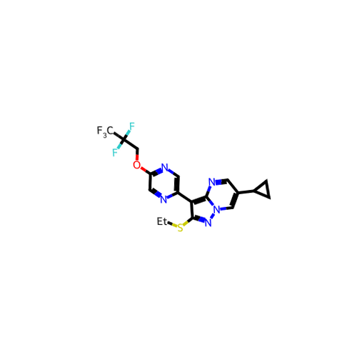 CCSc1nn2cc(C3CC3)cnc2c1-c1cnc(OCC(F)(F)C(F)(F)F)cn1